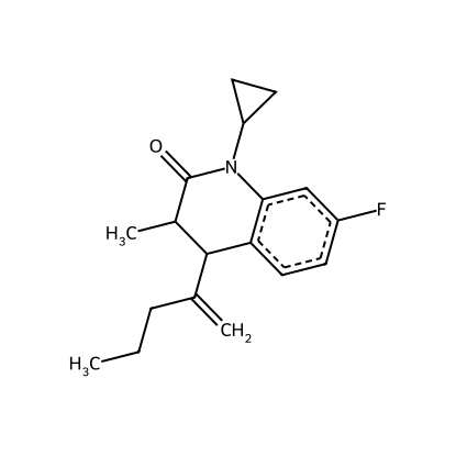 C=C(CCC)C1c2ccc(F)cc2N(C2CC2)C(=O)C1C